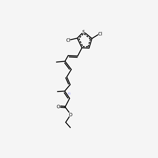 CCOC(=O)/C=C(\C)C=CC=C(C)C=Cc1cc(Cl)sc1Cl